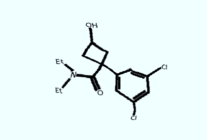 CCN(CC)C(=O)C1(c2cc(Cl)cc(Cl)c2)CC(O)C1